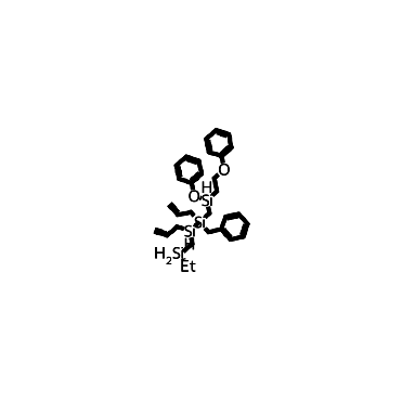 C=CC[SiH](C[SiH2]CC)[Si](CC=C)(Cc1ccccc1)C[SiH](CCOc1ccccc1)Oc1ccccc1